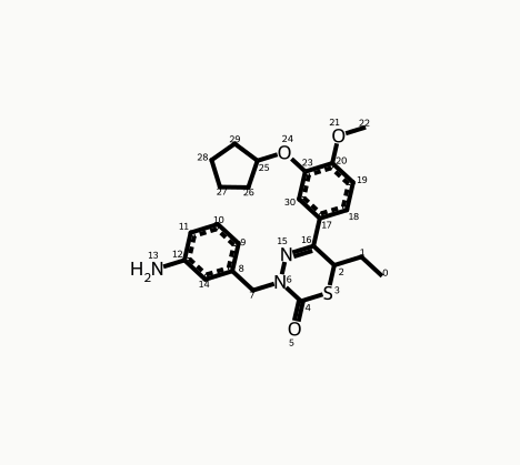 CCC1SC(=O)N(Cc2cccc(N)c2)N=C1c1ccc(OC)c(OC2CCCC2)c1